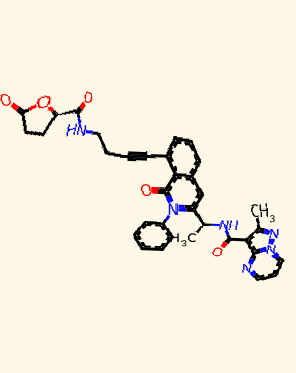 Cc1nn2cccnc2c1C(=O)N[C@@H](C)c1cc2cccc(C#CCCNC(=O)[C@H]3CCC(=O)O3)c2c(=O)n1-c1ccccc1